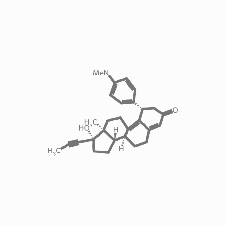 CC#C[C@]1(O)CC[C@H]2[C@@H]3CCC4=CC(=O)C[C@@H](c5ccc(NC)cc5)C4=C3CC[C@@]21C